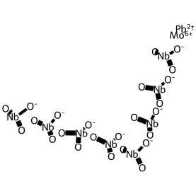 [Mo+6].[O]=[Nb](=[O])[O-].[O]=[Nb](=[O])[O-].[O]=[Nb](=[O])[O-].[O]=[Nb](=[O])[O-].[O]=[Nb](=[O])[O-].[O]=[Nb](=[O])[O-].[O]=[Nb](=[O])[O-].[O]=[Nb](=[O])[O-].[Pb+2]